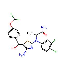 CC(C(N)=O)N(c1ccc(F)c(F)c1)c1nc(N)c(C(O)c2ccc(OC(F)F)cc2)s1